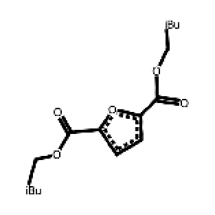 CCC(C)COC(=O)c1ccc(C(=O)OCC(C)CC)o1